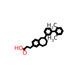 Cc1cccc(C)c1-c1cccc(C2CCCc3cc(CCC(=O)O)ccc3C2)c1